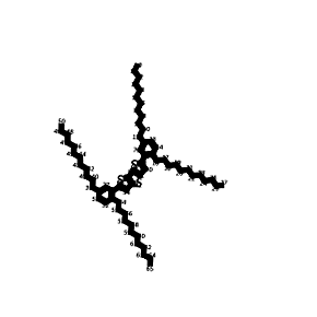 CCCCCCCCCCCCc1ccc(CCCCCCCCCCCC)c(-c2cc3sc4cc(-c5cc(CCCCCCCCCCCC)ccc5CCCCCCCCCCCC)sc4c3s2)c1